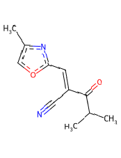 Cc1coc(/C=C(\C#N)C(=O)C(C)C)n1